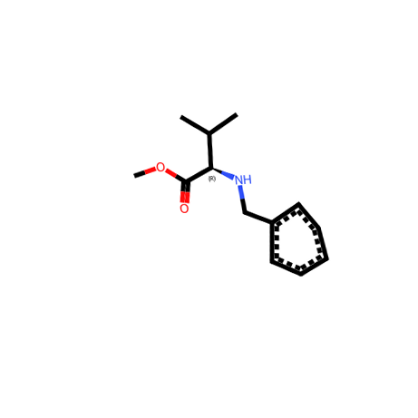 COC(=O)[C@H](NCc1ccccc1)C(C)C